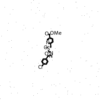 COC(=O)c1ccc(C[S@+]([O-])c2nnc(-c3ccc(Cl)cc3)o2)nc1